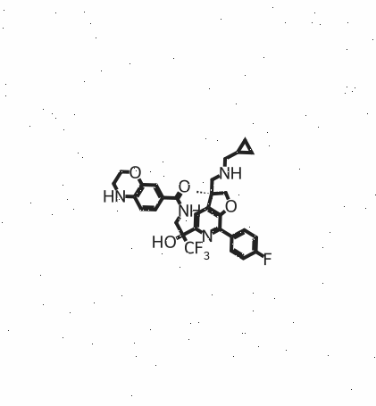 C[C@]1(CNCC2CC2)COc2c1cc(C(O)(CNC(=O)c1ccc3c(c1)OCCN3)C(F)(F)F)nc2-c1ccc(F)cc1